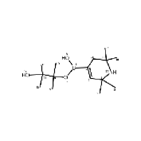 CC1(C)C=C(B(O)OC(C)(C)C(C)(C)O)CC(C)(C)N1